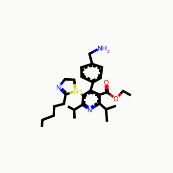 CCCCCC1=NCC[SH]1c1c(C(C)C)nc(C(C)C)c(C(=O)OCC)c1-c1ccc(CN)cc1